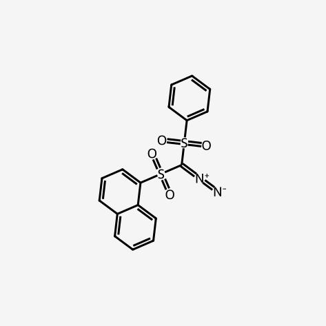 [N-]=[N+]=C(S(=O)(=O)c1ccccc1)S(=O)(=O)c1cccc2ccccc12